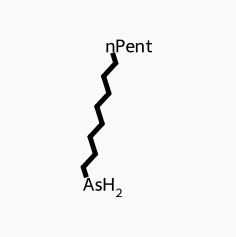 CCCCCCCCCCCCC[AsH2]